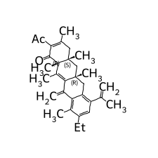 C=C(C)c1cc(CC)c(C)c2c1C[C@@]1(C)C[C@@]3(C)CC(C)=C(C(C)=O)C(=O)[C@@]3(C)C(C)=C1C2=C